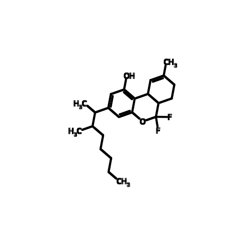 CCCCCC(C)C(C)c1cc(O)c2c(c1)OC(F)(F)C1CCC(C)=CC21